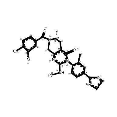 Cc1cc(-c2ncc[nH]2)ccc1-n1c(NC(C)C)nc2c(c1=O)C[C@@H](C)N(C(=O)c1ccc(Cl)c(Cl)c1)C2